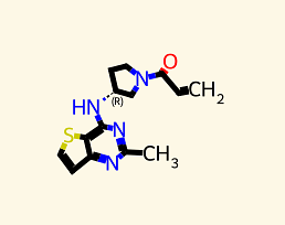 C=CC(=O)N1CC[C@@H](Nc2nc(C)nc3ccsc23)C1